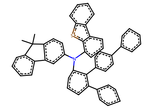 CC1(C)c2ccccc2-c2cc(N(c3cccc(-c4ccccc4)c3-c3ccc(-c4ccccc4)cc3)c3cccc4c3sc3ccccc34)ccc21